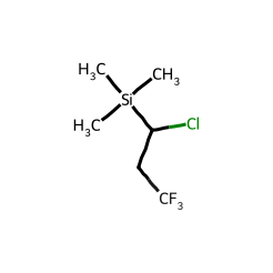 C[Si](C)(C)C(Cl)CC(F)(F)F